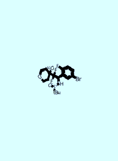 CC(C)(C)[S+]([O-])NC(c1cc(Br)ccc1F)C(F)(F)C1(O)CCOCC1